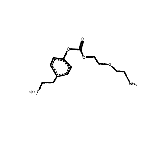 NCCOCCOC(=O)Oc1ccc(CCC(=O)O)cc1